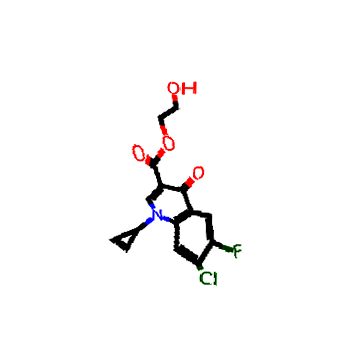 O=C(OCCO)c1cn(C2CC2)c2cc(Cl)c(F)cc2c1=O